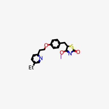 CCc1ccc(CCOc2ccc(CC3SC(=O)N=C3OI)cc2)nc1